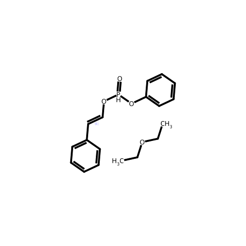 CCOCC.O=[PH](O/C=C/c1ccccc1)Oc1ccccc1